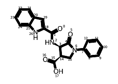 O=C(N[C@H]1C(=O)N(c2ccccc2)C[C@H]1C(=O)O)c1cc2ccccc2[nH]1